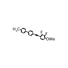 COc1ccc(C#Cc2ccc(-c3ccc(C)cc3)cc2)c(F)c1F